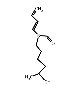 C=C/C=C/N(C=O)CCCCC(C)C